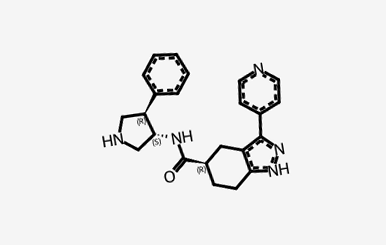 O=C(N[C@@H]1CNC[C@H]1c1ccccc1)[C@@H]1CCc2[nH]nc(-c3ccncc3)c2C1